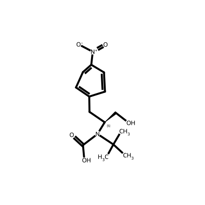 CC(C)(C)N(C(=O)O)[C@H](CO)Cc1ccc([N+](=O)[O-])cc1